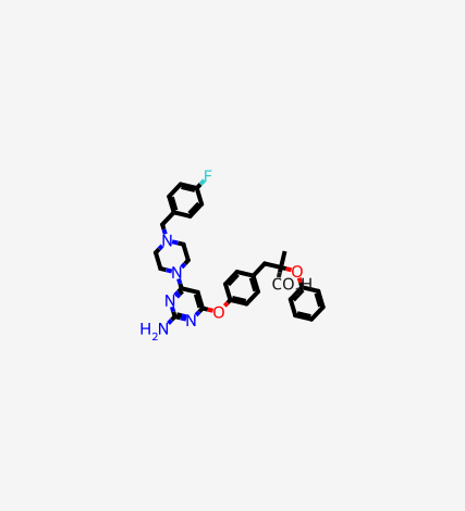 CC(Cc1ccc(Oc2cc(N3CCN(Cc4ccc(F)cc4)CC3)nc(N)n2)cc1)(Oc1ccccc1)C(=O)O